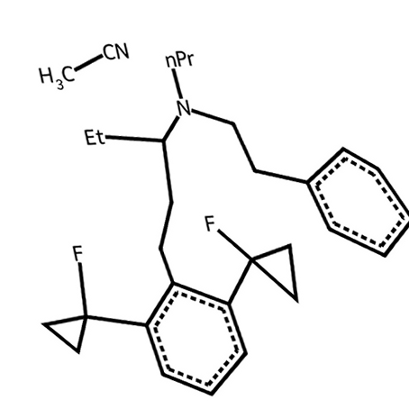 CC#N.CCCN(CCc1ccccc1)C(CC)CCc1c(C2(F)CC2)cccc1C1(F)CC1